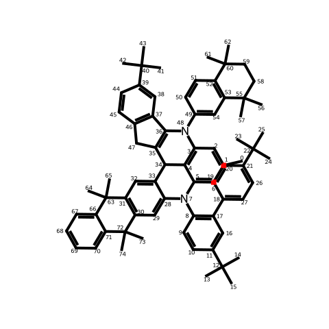 Cc1cc2c3c(c1)N(c1ccc(C(C)(C)C)cc1-c1ccc(C(C)(C)C)cc1)c1cc4c(cc1C3C1=C(c3cc(C(C)(C)C)ccc3C1)N2c1ccc2c(c1)C(C)(C)CCC2(C)C)C(C)(C)c1ccccc1C4(C)C